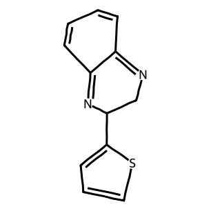 c1csc(C2CN=c3ccccc3=N2)c1